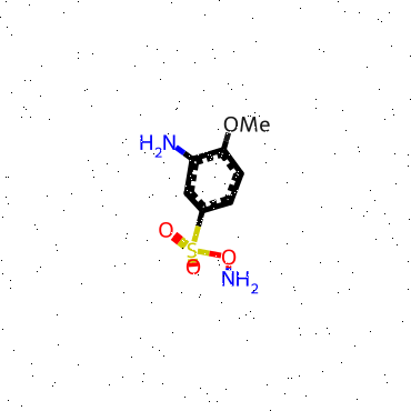 COc1ccc(S(=O)(=O)ON)cc1N